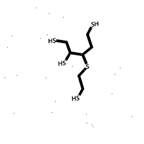 SCCSC(CCS)C(S)CS